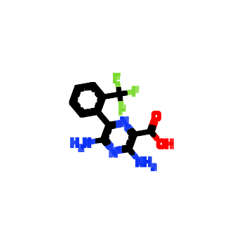 Nc1nc(N)c(-c2ccccc2C(F)(F)F)nc1C(=O)O